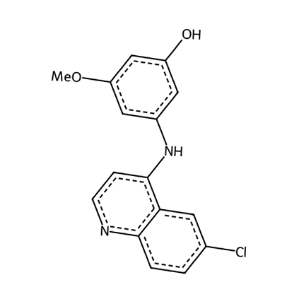 COc1cc(O)cc(Nc2ccnc3ccc(Cl)cc23)c1